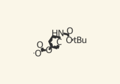 CC(C)(C)OC(=O)Nc1ccc(OC([O])=O)cc1